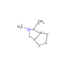 CC1C2CCCC2CN1C